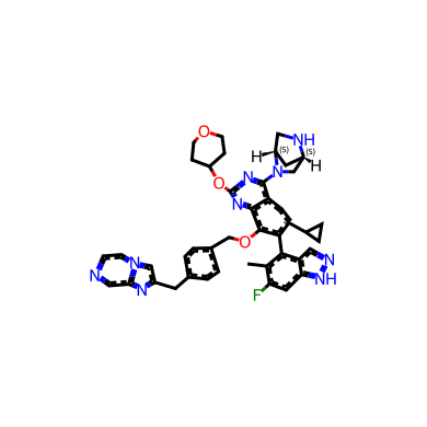 Cc1c(F)cc2[nH]ncc2c1-c1c(C2CC2)cc2c(N3C[C@@H]4C[C@H]3CN4)nc(OC3CCOCC3)nc2c1OCc1ccc(Cc2cn3ccncc3n2)cc1